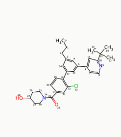 CCCc1cc(-c2ccnc(C(C)(C)C)c2)cc(-c2ccc(C(=O)N3CCC(O)CC3)cc2Cl)c1